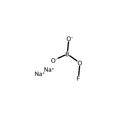 [Na+].[Na+].[O-]B([O-])OF